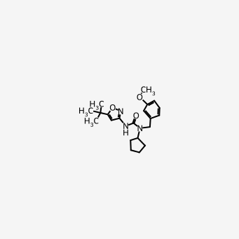 COc1cccc(CN(C(=O)Nc2cc(C(C)(C)C)on2)C2CCCC2)c1